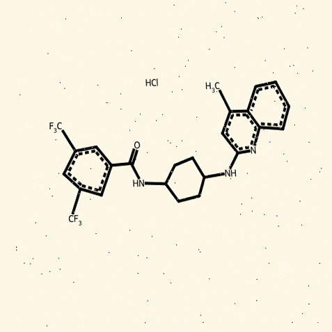 Cc1cc(NC2CCC(NC(=O)c3cc(C(F)(F)F)cc(C(F)(F)F)c3)CC2)nc2ccccc12.Cl